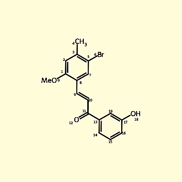 COc1cc(C)c(Br)cc1/C=C/C(=O)c1cccc(O)c1